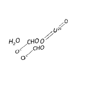 O.O=C[O-].O=C[O-].[O]=[U+2]=[O]